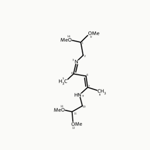 COC(CN=C(C)C=C(C)NCC(OC)OC)OC